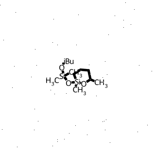 CCC(C)O[Si](C)(C)O[Si]1(C)CCCC(C)O1